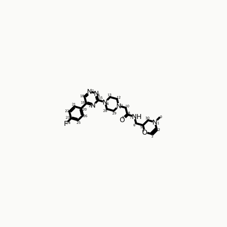 CN1C#COC(CNC(=O)CN2CCN(c3nncc(-c4ccc(F)cc4)n3)CC2)C1